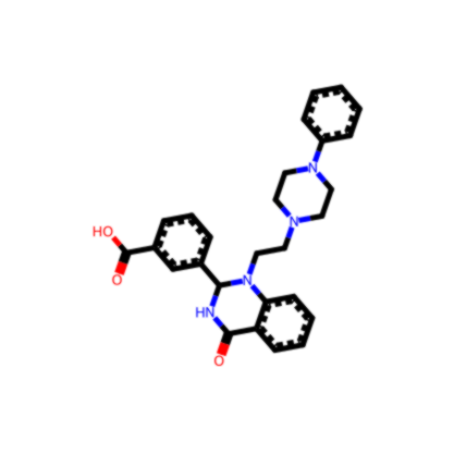 O=C(O)c1cccc(C2NC(=O)c3ccccc3N2CCN2CCN(c3ccccc3)CC2)c1